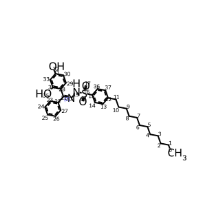 CCCCCCCCCCCCc1ccc(S(=O)(=O)N/N=C(/c2ccccc2)c2ccc(O)cc2O)cc1